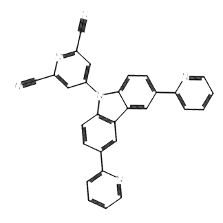 N#Cc1cc(-n2c3ccc(-c4ccccn4)cc3c3cc(-c4ccccn4)ccc32)cc(C#N)n1